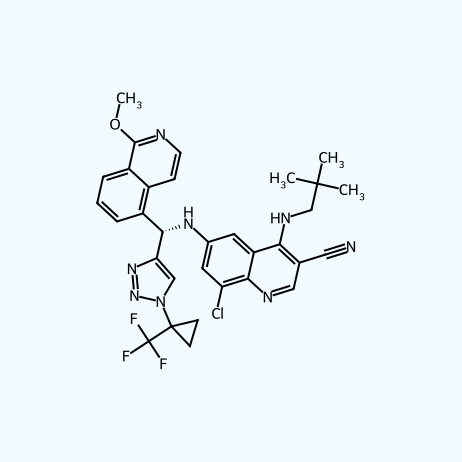 COc1nccc2c([C@H](Nc3cc(Cl)c4ncc(C#N)c(NCC(C)(C)C)c4c3)c3cn(C4(C(F)(F)F)CC4)nn3)cccc12